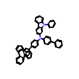 c1ccc(-c2ccc(N(c3ccc(-c4ccc5c(c4)-c4c6cccc4-c4cccc-5c4-c4ccccc4-6)cc3)c3ccc4c5ccccc5n(-c5ccccc5)c4c3)cc2)cc1